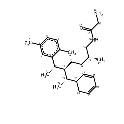 Cc1ccc(C(F)(F)F)cc1[C@@H](C)[C@@H](CC[C@@H](C)CNC(=O)CN)[C@@H](C)C1C=CC=CC1